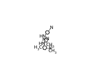 CC(=O)c1ccc(C)c(Nc2ccnc(Nc3ccc(C#N)cc3)n2)c1C